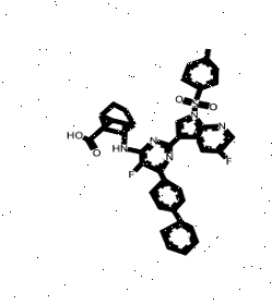 Cc1ccc(S(=O)(=O)n2cc(-c3nc(NC4C5CCC(CC5)C4C(=O)O)c(F)c(-c4ccc(-c5ccccc5)cc4)n3)c3cc(F)cnc32)cc1